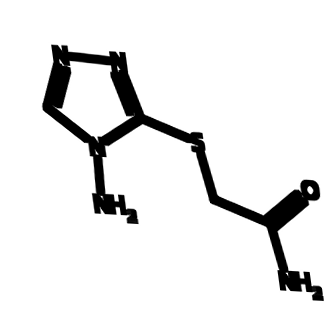 NC(=O)CSc1nncn1N